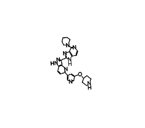 c1cc2[nH]c(-c3n[nH]c4ccc(-c5cncc(OC6CCNCC6)c5)nc34)nc2c(N2CCCCC2)n1